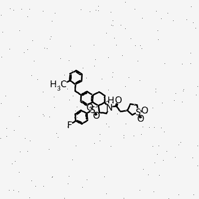 Cc1ccccc1Cc1ccc2c(c1)CC[C@H]1N(C(=O)CC3CCS(=O)(=O)C3)CC[C@@]21S(=O)(=O)c1ccc(F)cc1